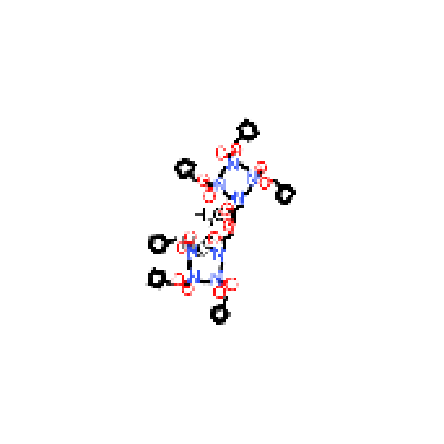 COC(COCC(CN1CCN(C(=O)OCc2ccccc2)CCN(C(=O)OCc2ccccc2)CCN(C(=O)OCc2ccccc2)CC1)OC)CN1CCN(C(=O)OCc2ccccc2)CCN(C(=O)OCc2ccccc2)CCN(C(=O)OCc2ccccc2)CC1